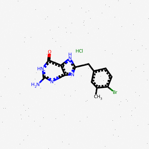 Cc1cc(Cc2nc3nc(N)[nH]c(=O)c3[nH]2)ccc1Br.Cl